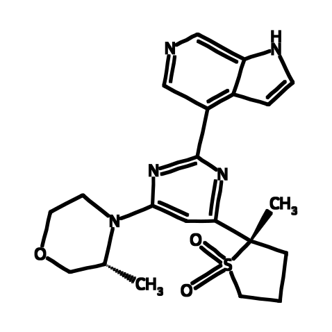 C[C@@H]1COCCN1c1cc([C@]2(C)CCCS2(=O)=O)nc(-c2cncc3[nH]ccc23)n1